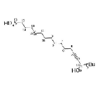 CCCC[C@@H](O)C#CCCCCCCCSCCCS(=O)(=O)O